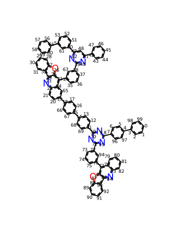 c1ccc(-c2ccc(-c3nc(-c4ccc(-c5ccc(-c6ccc7nc8c(oc9ccccc98)c(-c8cccc(-c9nc(-c%10ccccc%10)cc(-c%10cccc(-c%11ccccc%11)c%10)n9)c8)c7c6)cc5)cc4)nc(-c4cccc(-c5c6ccccc6nc6c5oc5ccccc56)c4)n3)cc2)cc1